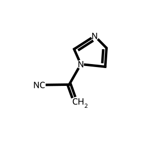 C=C(C#N)n1ccnc1